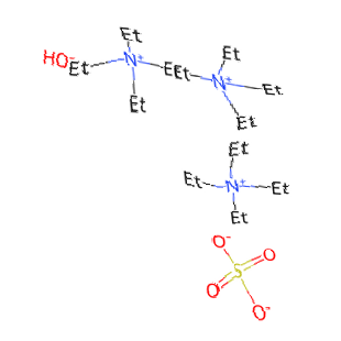 CC[N+](CC)(CC)CC.CC[N+](CC)(CC)CC.CC[N+](CC)(CC)CC.O=S(=O)([O-])[O-].[OH-]